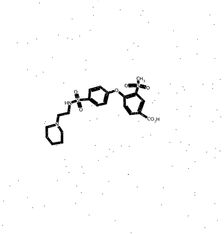 CS(=O)(=O)c1cc(C(=O)O)ccc1Oc1ccc(S(=O)(=O)NCCN2CCCCC2)cc1